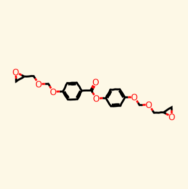 O=C(Oc1ccc(OCOCC2CO2)cc1)c1ccc(OCOCC2CO2)cc1